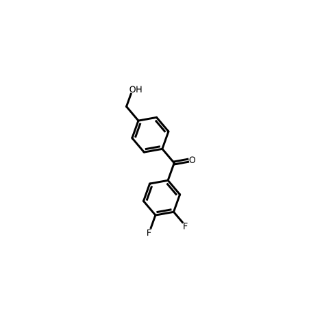 O=C(c1ccc(CO)cc1)c1ccc(F)c(F)c1